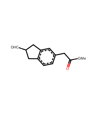 COC(=O)Cc1ccc2c(c1)CC(C=O)C2